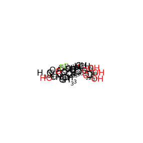 CC(=O)OC([C@H]1C[C@@H](C)C2C(O1)C(F)(F)[C@@]1(C)[C@@H]3CC[C@H]4C(C)(C)[C@@H](OC5OC[C@@H](O)[C@H](O)[C@H]5O)CC[C@@]45C[C@@]35CC[C@]21C)C(C)(C)O